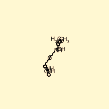 CC1(C)OCc2cc([C@H](O)CNCCCCCCOCCCCc3cccc(NC(=O)NC4CCCCC4)c3)ccc2O1